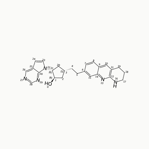 O[C@@H]1C[C@@H](CCc2ccc3cc4c(nc3c2)NCCC4)C[C@H]1n1ccc2cncnc21